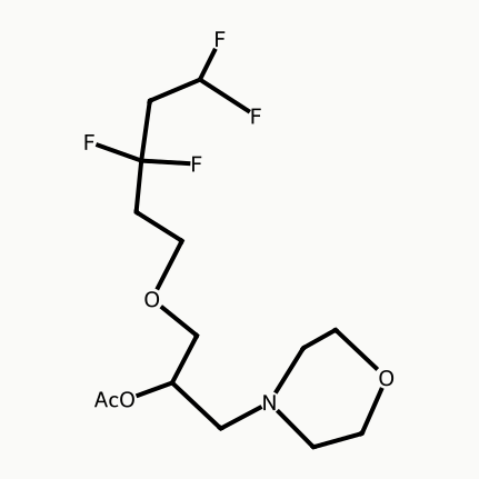 CC(=O)OC(COCCC(F)(F)CC(F)F)CN1CCOCC1